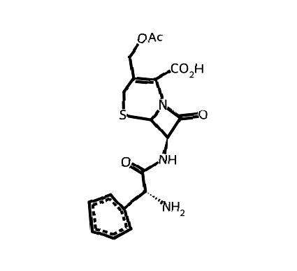 CC(=O)OCC1=C(C(=O)O)N2C(=O)[C@@H](NC(=O)[C@H](N)c3ccccc3)C2SC1